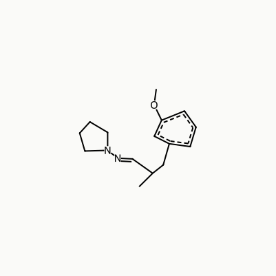 COc1cccc(CC(C)/C=N/N2CCCC2)c1